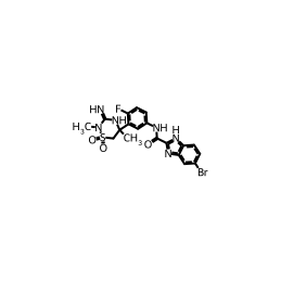 CN1C(=N)NC(C)(c2cc(NC(=O)c3nc4cc(Br)ccc4[nH]3)ccc2F)CS1(=O)=O